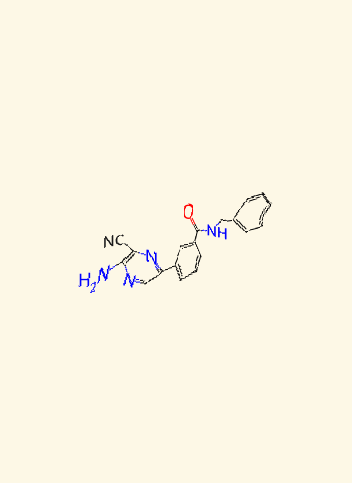 N#Cc1nc(-c2cccc(C(=O)NCc3ccccc3)c2)cnc1N